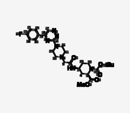 COC(=O)[C@H]1C[C@@H](NC(=O)CN2CCN(c3nncc(-c4ccc(F)cc4)n3)CC2)CCN1C(=O)OC(C)(C)C